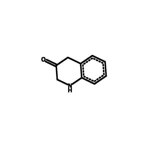 O=C1CNc2ccccc2C1